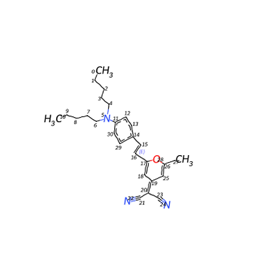 CCCCCN(CCCCC)c1ccc(/C=C/C2=CC(=C(C#N)C#N)C=C(C)O2)cc1